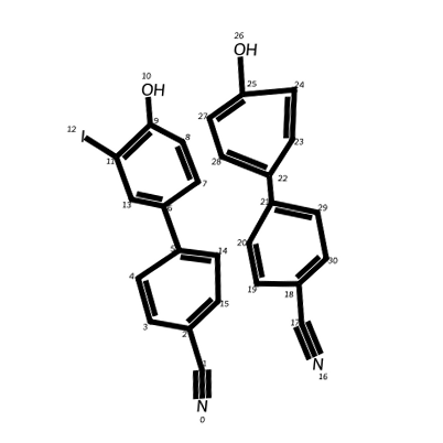 N#Cc1ccc(-c2ccc(O)c(I)c2)cc1.N#Cc1ccc(-c2ccc(O)cc2)cc1